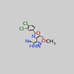 COCc1oc(-c2ccc(Cl)c(Cl)c2)nc1-c1nn[nH]c1C#N